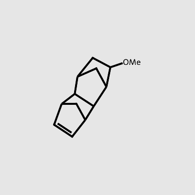 COC1CC2CC1C1C3C=CC(C3)C21